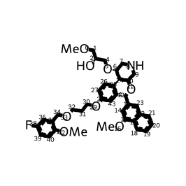 COC[C@@H](O)CO[C@@H]1CNCC(OCc2cc(OC)c3ccccc3c2)[C@H]1c1ccc(OCCCOCc2cc(F)ccc2OC)cc1